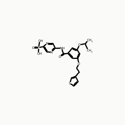 CC(C)Oc1cc(OCCc2ccsc2)cc(C(=O)Nc2cnc(P(=O)(O)O)cn2)c1